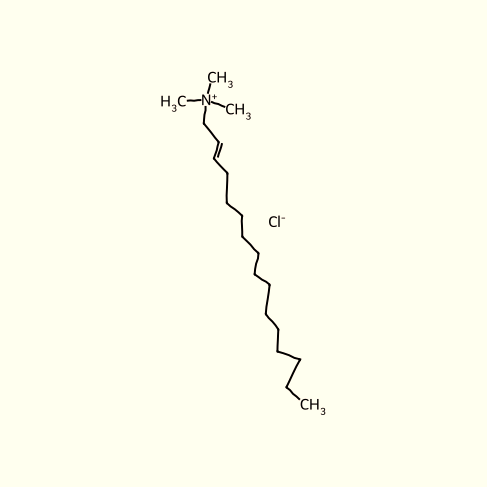 CCCCCCCCCCCCCC=CC[N+](C)(C)C.[Cl-]